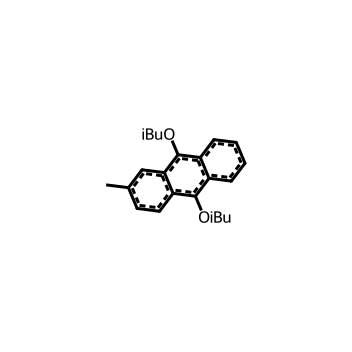 Cc1ccc2c(OCC(C)C)c3ccccc3c(OCC(C)C)c2c1